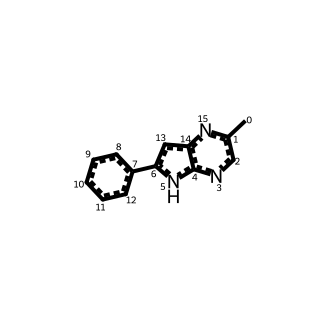 Cc1cnc2[nH]c(-c3ccccc3)cc2n1